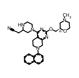 CN1CCO[C@@H](COc2nc3c(c(N4CCNC(CC#N)C4)n2)CCN(c2cccc4ccccc24)C3)C1